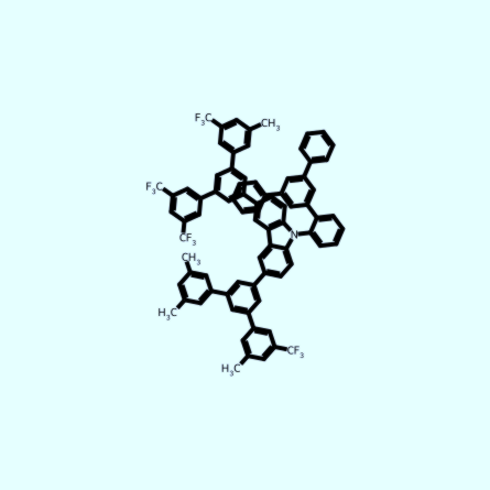 Cc1cc(C)cc(-c2cc(-c3cc(C)cc(C(F)(F)F)c3)cc(-c3ccc4c(c3)c3cc(-c5cc(-c6cc(C)cc(C(F)(F)F)c6)cc(-c6cc(C(F)(F)F)cc(C(F)(F)F)c6)c5)ccc3n4-c3ccccc3-c3cc(-c4ccccc4)cc(-c4ccccc4)c3)c2)c1